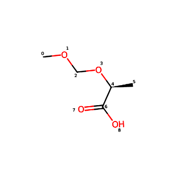 COCO[C@@H](C)C(=O)O